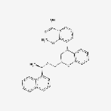 COc1c(C(=O)O)cccc1N1CC(CN[C@H](C)c2cccc3ccccc23)Oc2ccccc21